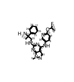 Cn1ncc2c(Nc3ccc(OC(F)F)nc3)nc(NCC(C)(N)c3ccccc3)nc21